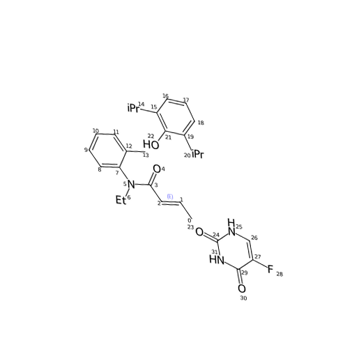 C/C=C/C(=O)N(CC)c1ccccc1C.CC(C)c1cccc(C(C)C)c1O.O=c1[nH]cc(F)c(=O)[nH]1